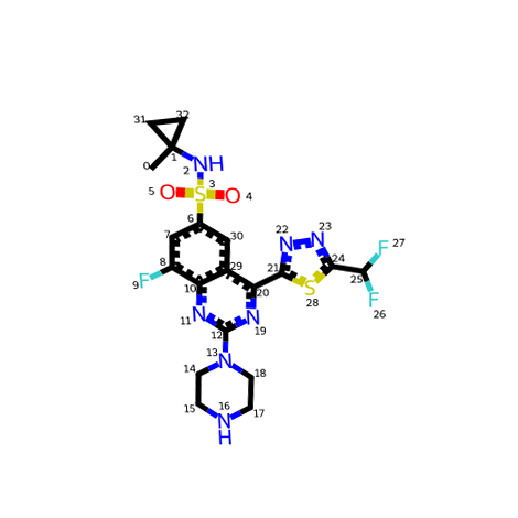 CC1(NS(=O)(=O)c2cc(F)c3nc(N4CCNCC4)nc(-c4nnc(C(F)F)s4)c3c2)CC1